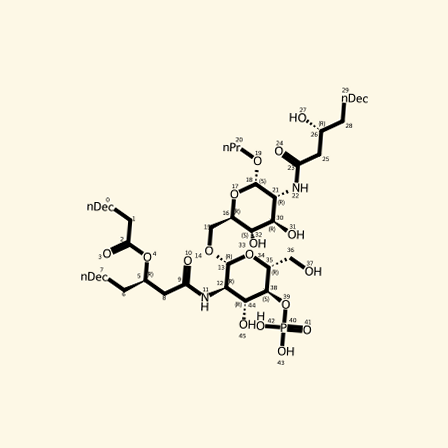 CCCCCCCCCCCC(=O)O[C@H](CCCCCCCCCCC)CC(=O)N[C@H]1[C@H](OC[C@H]2O[C@H](OCCC)[C@H](NC(=O)C[C@H](O)CCCCCCCCCCC)[C@@H](O)[C@@H]2O)O[C@H](CO)[C@@H](OP(=O)(O)O)[C@@H]1O